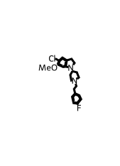 COc1cc2c(cc1Cl)CCN2C1CCN(CCc2ccc(F)cc2)CC1